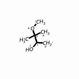 [CH2]C(O)C(C)(C)OC